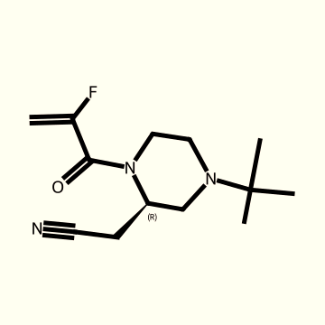 C=C(F)C(=O)N1CCN(C(C)(C)C)C[C@H]1CC#N